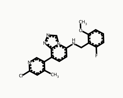 COc1cccc(F)c1CNc1ccc(-c2cnc(Cl)cc2C)c2nncn12